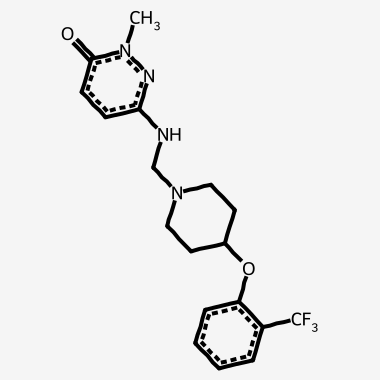 Cn1nc(NCN2CCC(Oc3ccccc3C(F)(F)F)CC2)ccc1=O